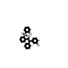 O=C(c1ccccc1S(=O)(=O)c1ccccc1Cl)C(c1ccccc1)c1cc[c]c(Cl)c1